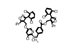 CC(C)c1onc(-c2c(Cl)cccc2Cl)c1COC(=O)c1ccc(CN(C)c2ncc(OCc3c(-c4c(Cl)cccc4Cl)noc3C(C)C)cc2Cl)cc1